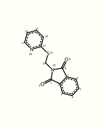 O=C1c2ccccc2C(=O)N1CSc1ccccn1